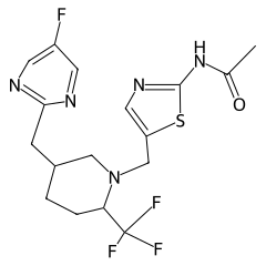 CC(=O)Nc1ncc(CN2CC(Cc3ncc(F)cn3)CCC2C(F)(F)F)s1